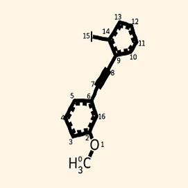 COc1cccc(C#Cc2ccccc2I)c1